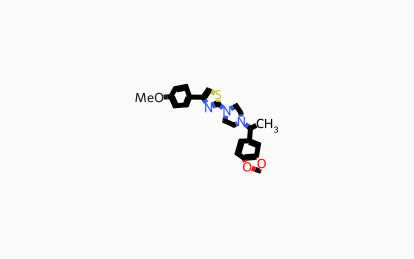 COc1ccc(-c2csc(N3CCN(C(C)c4ccc5c(c4)OCO5)CC3)n2)cc1